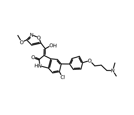 COc1cc(C(O)=C2C(=O)Nc3cc(Cl)c(-c4ccc(OCCCN(C)C)cc4)cc32)on1